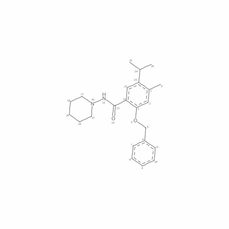 Cc1cc(OCc2ccccc2)c(C(=O)NN2CCCCC2)cc1C(C)C